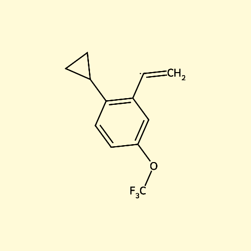 C=[C]c1cc(OC(F)(F)F)ccc1C1CC1